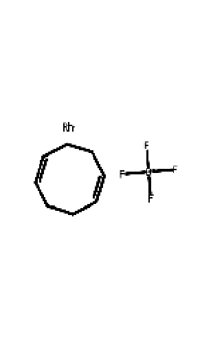 C1=C\CC/C=C\CC/1.F[B-](F)(F)F.[Rh]